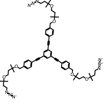 CC(C)(CCN=[N+]=[N-])OCCC(C)(C)OCc1ccc(C#Cc2cc(C#Cc3ccc(COC(C)(C)CCOC(C)(C)CCN=[N+]=[N-])cc3)cc(C#Cc3ccc(COC(C)(C)CCOC(C)(C)CCN=[N+]=[N-])cc3)c2)cc1